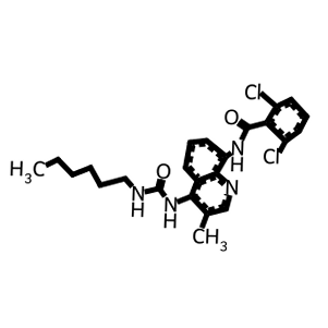 CCCCCCNC(=O)Nc1c(C)cnc2c(NC(=O)c3c(Cl)cccc3Cl)cccc12